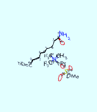 CCCCCCCCCCCCCCCCCC(N)=O.CCC[N+](C)(C)C.COS(=O)(=O)[O-]